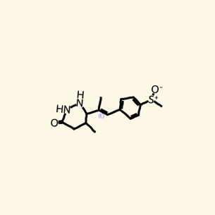 C/C(=C\c1ccc([S+](C)[O-])cc1)C1NNC(=O)CC1C